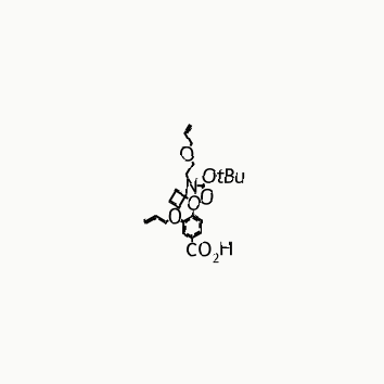 C=CCOCCN(C(=O)OC(C)(C)C)C1(Oc2ccc(C(=O)O)cc2OCC=C)CCC1